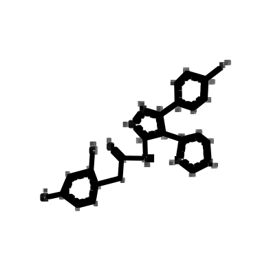 O=C(Cc1ccc(Cl)cc1Cl)Nc1onc(-c2ccc(F)cc2)c1-c1ccncn1